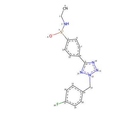 N#CCN[S+]([O-])c1ccc(-c2nnn(Cc3ccc(F)cc3)n2)cc1